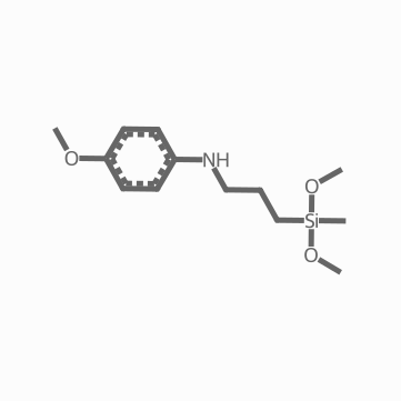 COc1ccc(NCCC[Si](C)(OC)OC)cc1